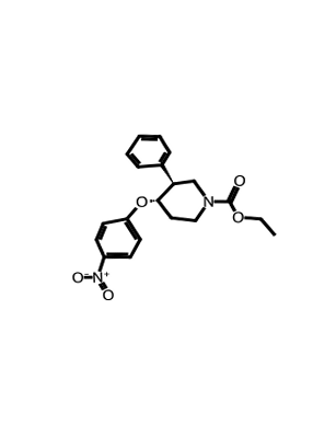 CCOC(=O)N1CC[C@H](Oc2ccc([N+](=O)[O-])cc2)[C@@H](c2ccccc2)C1